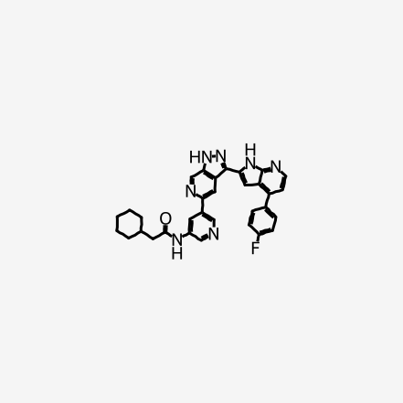 O=C(CC1CCCCC1)Nc1cncc(-c2cc3c(-c4cc5c(-c6ccc(F)cc6)ccnc5[nH]4)n[nH]c3cn2)c1